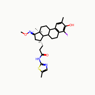 CO/N=C1\C[C@@H](CCC(=O)Nc2ncc(C)s2)C2C3CCc4c(cc(C)c(O)c4I)C3CC[C@]12C